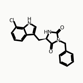 O=C1N[C@H](Cc2c[nH]c3c(Cl)cccc23)C(=O)N1Cc1ccccc1